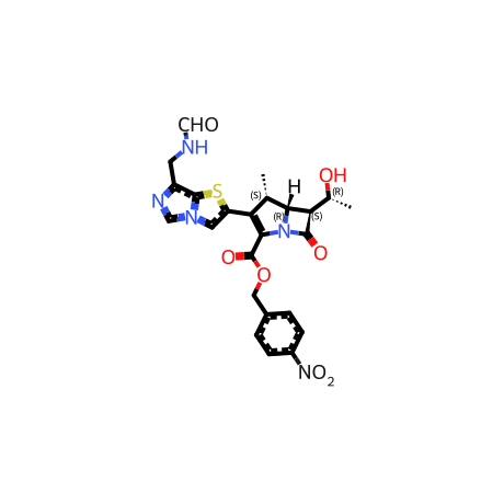 C[C@@H](O)[C@H]1C(=O)N2C(C(=O)OCc3ccc([N+](=O)[O-])cc3)=C(c3cn4cnc(CNC=O)c4s3)[C@H](C)[C@H]12